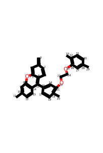 C=c1ccc2c(c1)Oc1cc(C)ccc1C=2c1ccc(C)c(OCCOc2cc(C)ccc2C)c1